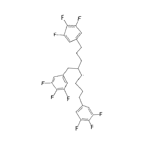 Fc1cc(CCC[CH]C(CCCc2cc(F)c(F)c(F)c2)Cc2cc(F)c(F)c(F)c2)cc(F)c1F